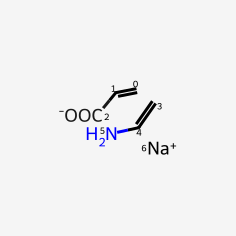 C=CC(=O)[O-].C=CN.[Na+]